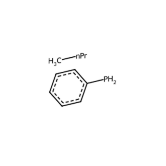 CCCC.Pc1ccccc1